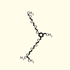 CCOCCOCCOCCOc1cc(CC)cc(COCCOCCOCCCO[C@@H](C)CC)c1